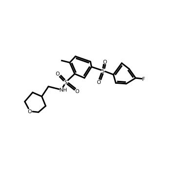 Cc1ccc(S(=O)(=O)c2ccc(F)cc2)cc1S(=O)(=O)NCC1CCOCC1